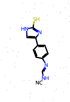 N#CN/C=N/c1ccc(-c2c[nH]c(S)n2)cc1